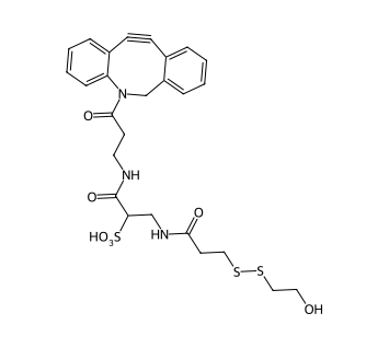 O=C(CCSSCCO)NCC(C(=O)NCCC(=O)N1Cc2ccccc2C#Cc2ccccc21)S(=O)(=O)O